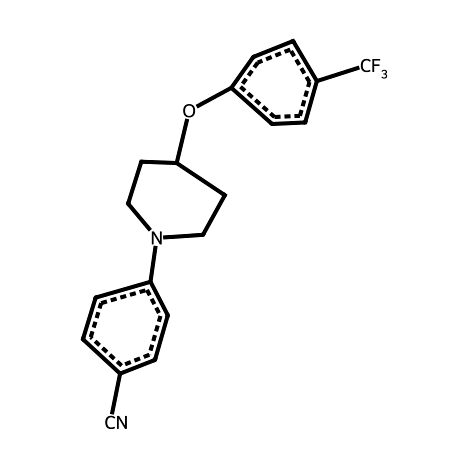 N#Cc1ccc(N2CCC(Oc3ccc(C(F)(F)F)cc3)CC2)cc1